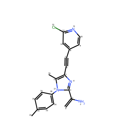 C=C(N)c1nc(C#Cc2ccnc(Cl)c2)c(C)n1-c1ccc(C)cc1